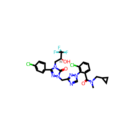 CN(CC1CC1)C(=O)c1cccc(Cl)c1-n1cnc(Cn2nc(-c3ccc(Cl)cc3)n(C[C@H](O)C(F)(F)F)c2=O)n1